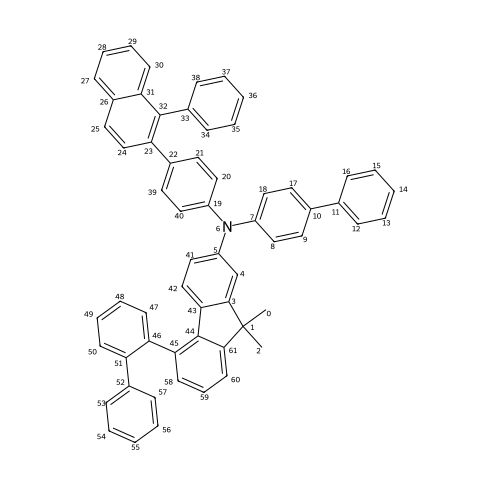 CC1(C)c2cc(N(c3ccc(-c4ccccc4)cc3)c3ccc(-c4ccc5ccccc5c4-c4ccccc4)cc3)ccc2-c2c(-c3ccccc3-c3ccccc3)cccc21